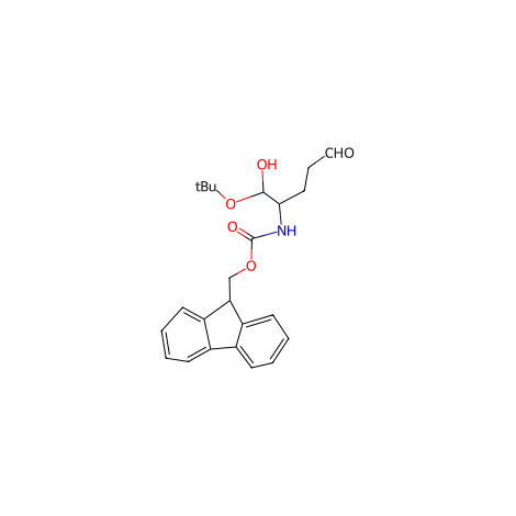 CC(C)(C)OC(O)C(CCC=O)NC(=O)OCC1c2ccccc2-c2ccccc21